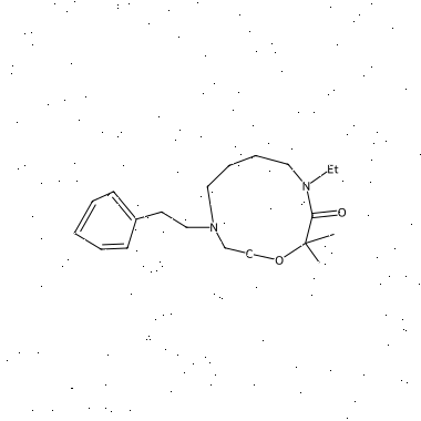 CCN1CCCCN(CCc2ccccc2)CCOC(C)(C)C1=O